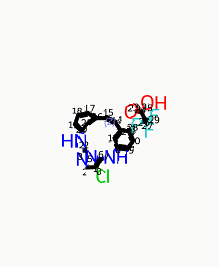 Clc1cnc2nc1Nc1cccc(c1)/C=C\c1cccc(c1)N2.O=C(O)C(F)(F)F